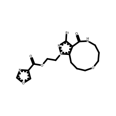 CCc1nn(CCOC(=O)c2cocn2)c2c1C(=O)NCCCOCCC2